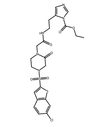 CCOC(=O)n1cncc1CCNC(=O)CN1CCN(S(=O)(=O)c2cc3ccc(Cl)cc3s2)CC1=O